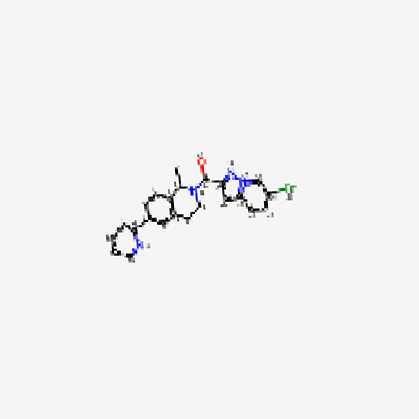 CC1c2ccc(-c3ccccn3)cc2CCN1C(=O)c1cc2ccc(Br)cn2n1